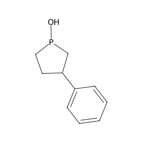 OP1CCC(c2ccccc2)C1